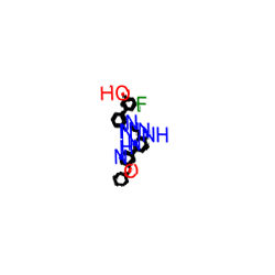 Oc1cc(F)cc(-c2cccc3[nH]c(-c4n[nH]c5ccc(-c6cncc(OC7CCCCC7)c6)nc45)nc23)c1